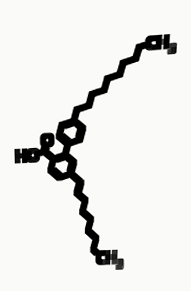 CCCCCCCC=Cc1ccc(C(=O)O)c(-c2ccc(CCCCCCCCCC)cc2)c1